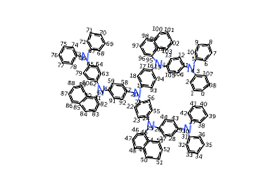 c1ccc(N(c2ccccc2)c2ccc(N(c3ccc(N(c4ccc(N(c5ccc(N(c6ccccc6)c6ccccc6)cc5)c5cccc6ccccc56)cc4)c4ccc(N(c5ccc(N(c6ccccc6)c6ccccc6)cc5)c5cccc6ccccc56)cc4)cc3)c3cccc4ccccc34)cc2)cc1